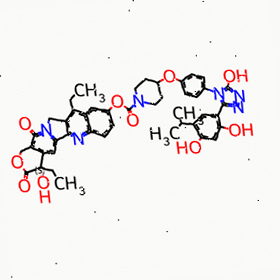 CCc1c2c(nc3ccc(OC(=O)N4CCC(Oc5ccc(-n6c(O)nnc6-c6cc(C(C)C)c(O)cc6O)cc5)CC4)cc13)-c1cc3c(c(=O)n1C2)COC(=O)[C@]3(O)CC